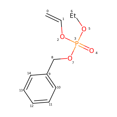 C=COP(=O)(OCC)OCc1ccccc1